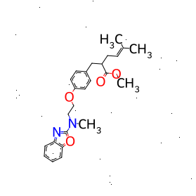 COC(=O)C(CC=C(C)C)Cc1ccc(OCCN(C)c2nc3ccccc3o2)cc1